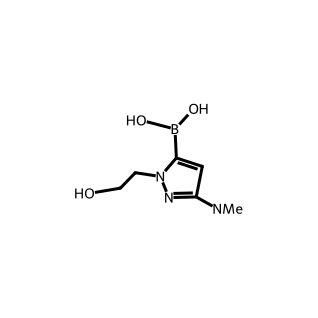 CNc1cc(B(O)O)n(CCO)n1